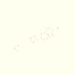 CCOC(=O)c1cn(C2CC2)c2c(OC)c(-c3cc4c(s3)CCC(CO[Si](C)(C)C(C)(C)C)C4)ccc2c1=O